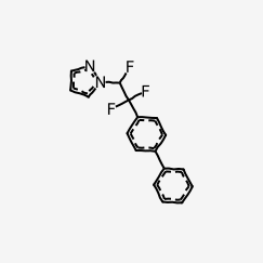 FC(n1cccn1)C(F)(F)c1ccc(-c2ccccc2)cc1